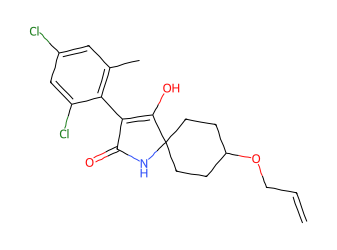 C=CCOC1CCC2(CC1)NC(=O)C(c1c(C)cc(Cl)cc1Cl)=C2O